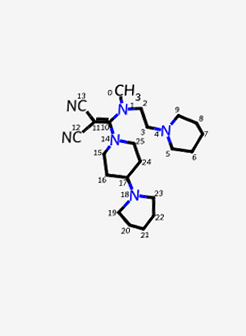 CN(CCN1CCCCC1)C(=C(C#N)C#N)N1CCC(N2CCCCC2)CC1